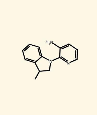 CC1CN(c2ncccc2N)c2ccccc21